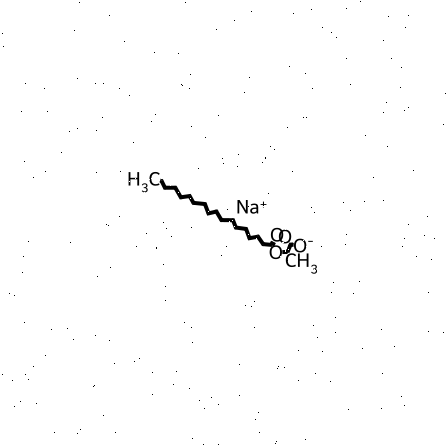 CCCCCCCCCCCCCCCCCC(=O)OC(C)C(=O)[O-].[Na+]